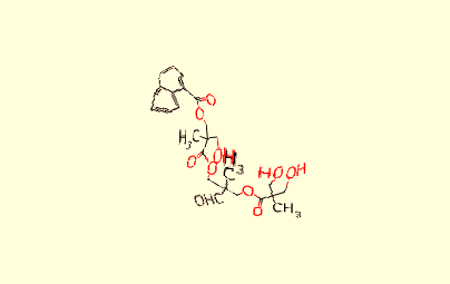 CC(C=O)(COC(=O)C(C)(CO)CO)COC(=O)C(C)(CO)COC(=O)c1cccc2ccccc12